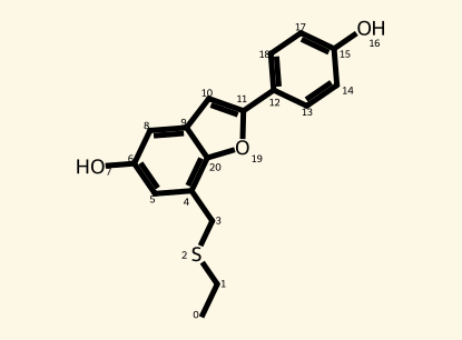 CCSCc1cc(O)cc2cc(-c3ccc(O)cc3)oc12